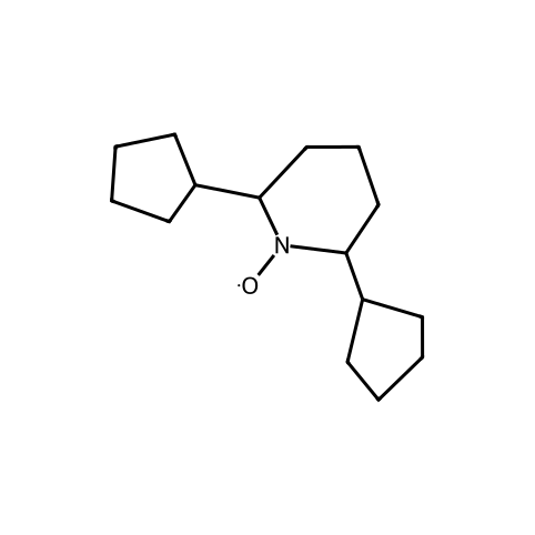 [O]N1C(C2CCCC2)CCCC1C1CCCC1